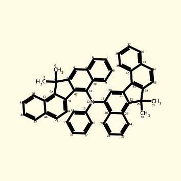 CC1(C)c2cc3ccccc3c(N(c3ccccc3)c3cc4c(c5ccccc35)C(C)(C)c3ccc5ccccc5c3-4)c2-c2ccc3ccccc3c21